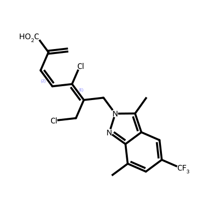 C=C(/C=C\C(Cl)=C(/CCl)Cn1nc2c(C)cc(C(F)(F)F)cc2c1C)C(=O)O